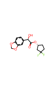 O=C(O[C@@H]1CCC(F)(F)C1)[C@H](O)c1ccc2c(c1)OCO2